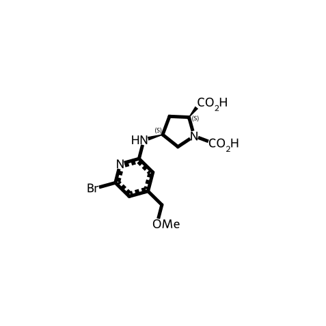 COCc1cc(Br)nc(N[C@H]2C[C@@H](C(=O)O)N(C(=O)O)C2)c1